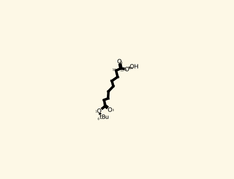 CC(C)(C)OC(=O)CCCCCCCC(=O)OO